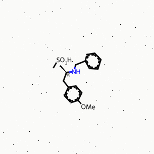 COc1ccc(C[C@@H](C)NCc2ccccc2)cc1.CS(=O)(=O)O